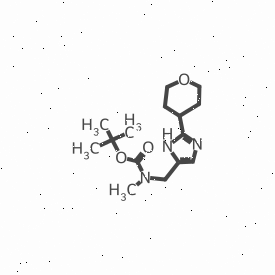 CN(Cc1cnc(C2CCOCC2)[nH]1)C(=O)OC(C)(C)C